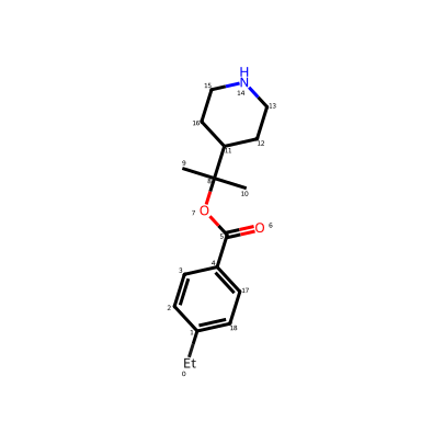 CCc1ccc(C(=O)OC(C)(C)C2CCNCC2)cc1